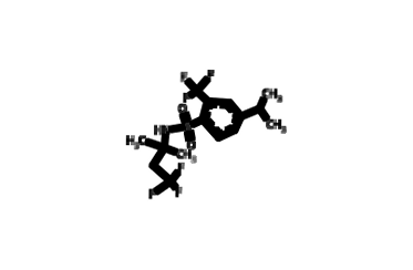 CC(C)c1ccc(S(=O)(=O)NC(C)(C)CC(F)(F)F)c(C(F)(F)F)c1